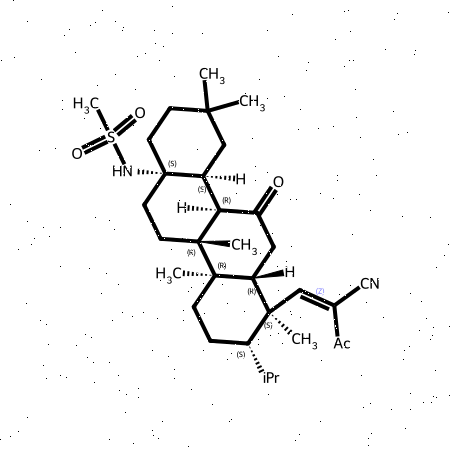 CC(=O)/C(C#N)=C\[C@]1(C)[C@H]2CC(=O)[C@@H]3[C@@H]4CC(C)(C)CC[C@]4(NS(C)(=O)=O)CC[C@@]3(C)[C@]2(C)CC[C@H]1C(C)C